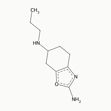 CCCNC1CCc2nc(N)oc2C1